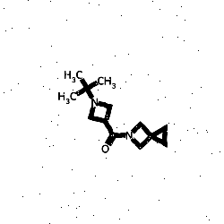 CC(C)(C)N1CC(C(=O)N2CC3(CC3)C2)C1